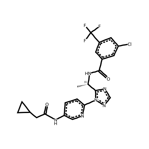 C[C@H](NC(=O)c1cc(Cl)cc(C(F)(F)F)c1)c1ncnn1-c1ccc(NC(=O)CC2CC2)cn1